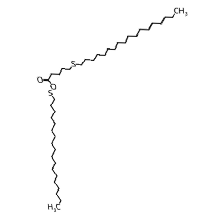 CCCCCCCCCCCCCCCCCCSCCCCC(=O)OSCCCCCCCCCCCCCCCCCC